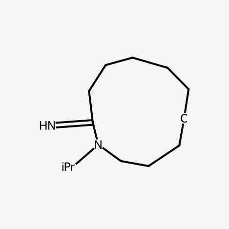 CC(C)N1CCCCCCCCCC1=N